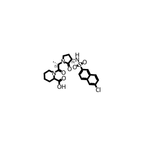 C[C@@H](C(=O)N1CCCCC1C(=O)O)N1CC[C@H](NS(=O)(=O)c2ccc3cc(Cl)ccc3c2)C1=O